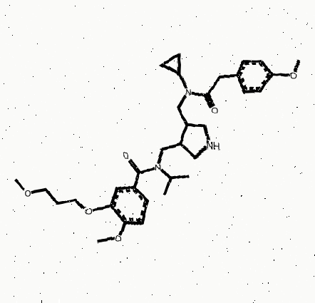 COCCCOc1cc(C(=O)N(CC2CNCC2CN(C(=O)Cc2ccc(OC)cc2)C2CC2)C(C)C)ccc1OC